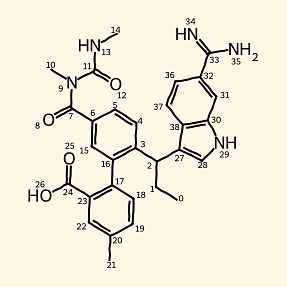 CCC(c1ccc(C(=O)N(C)C(=O)NC)cc1-c1ccc(C)cc1C(=O)O)c1c[nH]c2cc(C(=N)N)ccc12